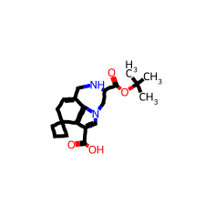 CC(C)(C)OC(=O)C1Cn2cc(C(=O)O)c3c2C(=CCC32CCC2)CN1